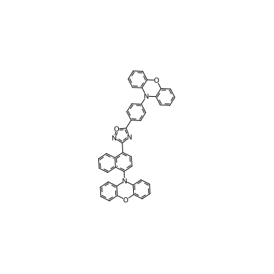 c1ccc2c(c1)Oc1ccccc1N2c1ccc(-c2nc(-c3ccc(N4c5ccccc5Oc5ccccc54)c4ccccc34)no2)cc1